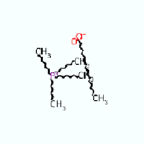 CCCCCCCCC=CCCCCCCCC(=O)[O-].CCCCCCCC[P+](CCCCCCCC)(CCCCCCCC)CCCCCCCC